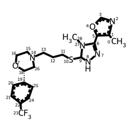 Cc1ncoc1C1=NNC(SCCCN2CCO[C@@H](c3ccc(C(F)(F)F)cc3)C2)N1C